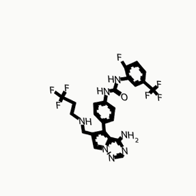 Nc1ncnn2cc(CNCCC(F)(F)F)c(-c3ccc(NC(=O)Nc4cc(C(F)(F)F)ccc4F)cc3)c12